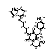 Cl.O=c1c(Cc2ccccc2)c2n(c(=O)n1CCCCSc1cccc3nccn13)CCCS2(=O)=O